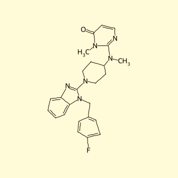 CN(c1nccc(=O)n1C)C1CCN(c2nc3ccccc3n2Cc2ccc(F)cc2)CC1